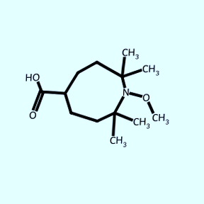 CON1C(C)(C)CCC(C(=O)O)CCC1(C)C